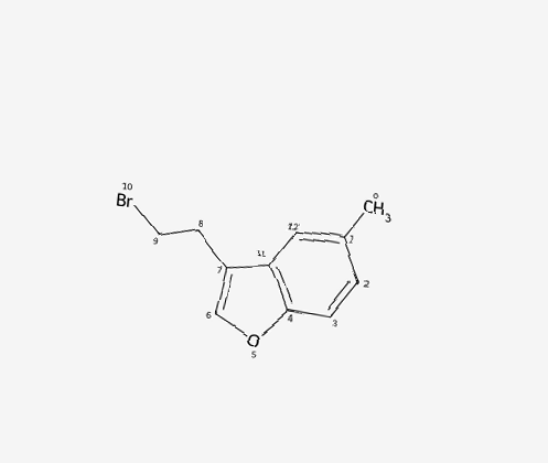 Cc1ccc2occ(CCBr)c2c1